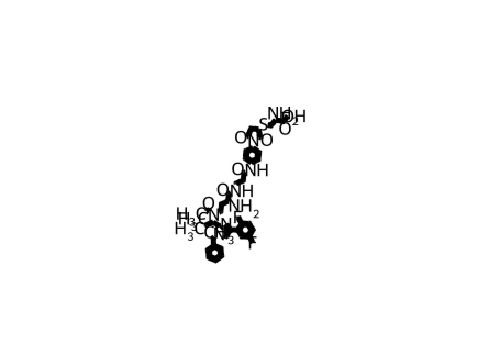 CC(=O)N(CCC(N)C(=O)NCCC(=O)Nc1ccc(N2C(=O)CC(SCC(N)C(=O)O)C2=O)cc1)C(c1nc(-c2cc(F)ccc2F)cn1Cc1ccccc1)C(C)(C)C